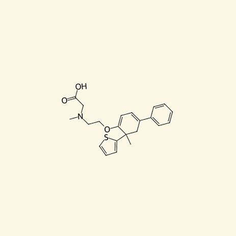 CN(CCOC1=CC=C(c2ccccc2)CC1(C)c1cccs1)CC(=O)O